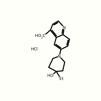 CCC1(O)CCN(c2ccc3nccc(C(=O)O)c3c2)CC1.Cl